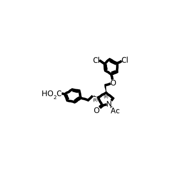 CC(=O)N1C[C@H](COc2cc(Cl)cc(Cl)c2)[C@@H](CCc2ccc(C(=O)O)cc2)C1=O